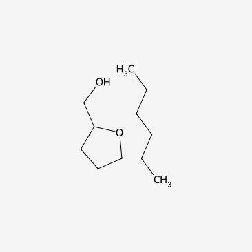 CCCCCC.OCC1CCCO1